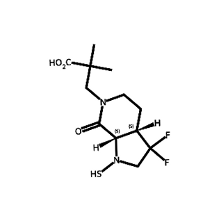 CC(C)(CN1CC[C@H]2[C@@H](C1=O)N(S)CC2(F)F)C(=O)O